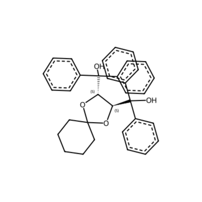 OC(c1ccccc1)(c1ccccc1)[C@H]1OC2(CCCCC2)O[C@@H]1C(O)(c1ccccc1)c1ccccc1